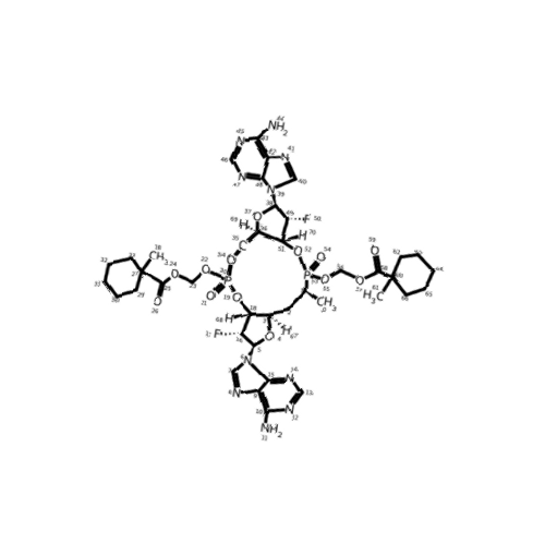 C[C@H]1C[C@H]2O[C@@H](n3cnc4c(N)ncnc43)[C@H](F)[C@@H]2OP(=O)(OCOC(=O)C2(C)CCCCC2)OC[C@H]2O[C@@H](n3cnc4c(N)ncnc43)[C@H](F)[C@@H]2OP1(=O)OCOC(=O)C1(C)CCCCC1